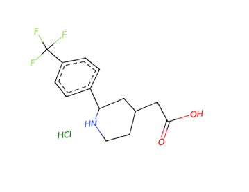 Cl.O=C(O)CC1CCNC(c2ccc(C(F)(F)F)cc2)C1